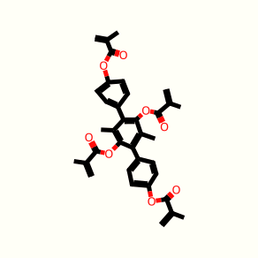 C=C(C)C(=O)Oc1ccc(-c2c(C)c(OC(=O)C(=C)C)c(-c3ccc(OC(=O)C(=C)C)cc3)c(C)c2OC(=O)C(=C)C)cc1